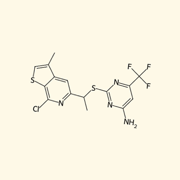 Cc1csc2c(Cl)nc(C(C)Sc3nc(N)cc(C(F)(F)F)n3)cc12